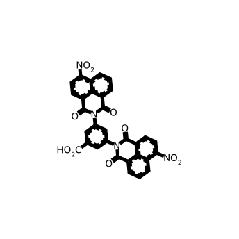 O=C(O)c1cc(N2C(=O)c3cccc4c([N+](=O)[O-])ccc(c34)C2=O)cc(N2C(=O)c3cccc4c([N+](=O)[O-])ccc(c34)C2=O)c1